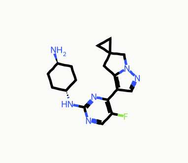 N[C@H]1CC[C@H](Nc2ncc(F)c(-c3cnn4c3CC3(CC3)C4)n2)CC1